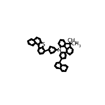 CC1(C)c2ccccc2-c2c(N(c3ccc(-c4cccc5c4sc4ccc6ccccc6c45)cc3)c3cccc(-c4cccc5ccccc45)c3)cccc21